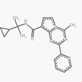 Cc1nc(-c2ccccn2)nc2c(C(=O)NC(C)(C)C3CC3)ccn12